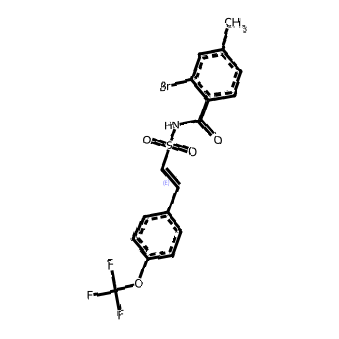 Cc1ccc(C(=O)NS(=O)(=O)/C=C/c2ccc(OC(F)(F)F)cc2)c(Br)c1